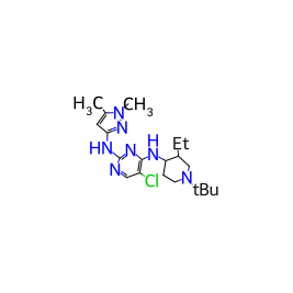 CCC1CN(C(C)(C)C)CCC1Nc1nc(Nc2cc(C)n(C)n2)ncc1Cl